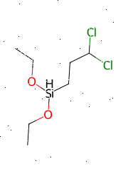 CCO[SiH](CCC(Cl)Cl)OCC